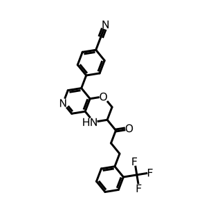 N#Cc1ccc(-c2cncc3c2OCC(C(=O)CCc2ccccc2C(F)(F)F)N3)cc1